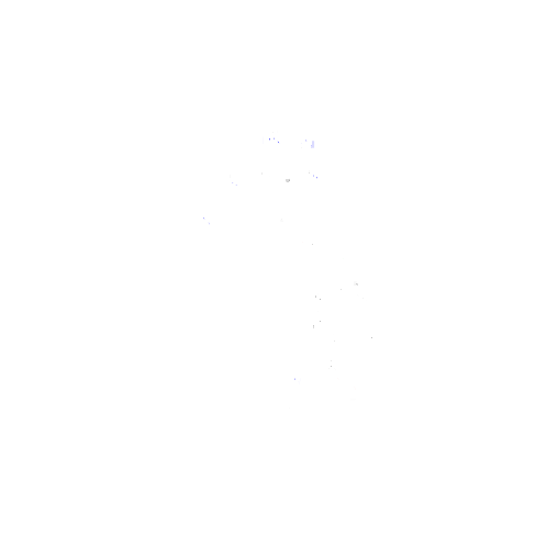 Nc1cc(OCc2cc(C(=O)NCC(F)(F)F)ccc2Cl)c2c(n1)NNN2